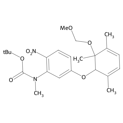 COCOC1(C)C(C)=CC=C(C)C1Oc1ccc([N+](=O)[O-])c(N(C)C(=O)OC(C)(C)C)c1